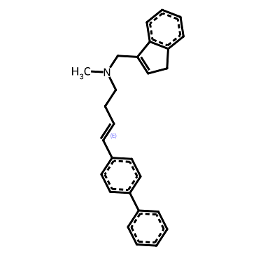 CN(CC/C=C/c1ccc(-c2ccccc2)cc1)CC1=CCc2ccccc21